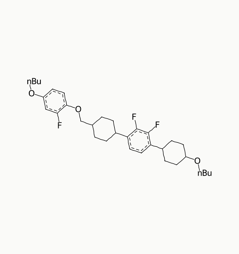 CCCCOc1ccc(OCC2CCC(c3ccc(C4CCC(OCCCC)CC4)c(F)c3F)CC2)c(F)c1